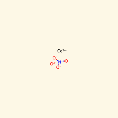 O=[N+]([O-])[O-].[Ce+3].[O-2]